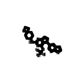 [2H]C([2H])([2H])Oc1nc(NC2CCC3(CCO3)CC2)nn2ccc(-c3cnc4nccn4c3)c12